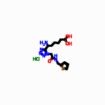 Cl.NC(CCCCB(O)O)c1nnnn1CC(=O)NCc1cccs1